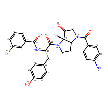 Nc1ccc(C(=O)N2CC(=O)[C@@H]3C2CCN3C(=O)[C@H](Cc2ccc(O)cc2)NC(=O)c2cccc(Br)c2)cc1